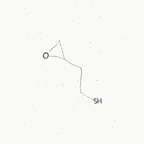 SCCC1CO1